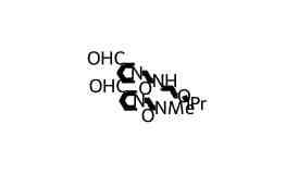 CC(C)OCCCNC(=O)CN1CCCC(C=O)C1.CNC(=O)CN1CCCC(C=O)C1